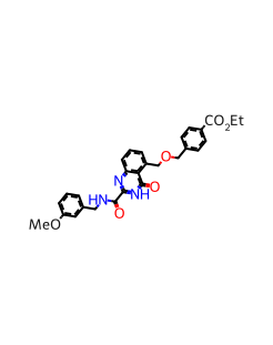 CCOC(=O)c1ccc(COCc2cccc3nc(C(=O)NCc4cccc(OC)c4)[nH]c(=O)c23)cc1